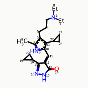 CCN(CC)CCCc1c(C)[nH]c(C=C2C(=O)NN=C2C2CC2)c1C1CC1